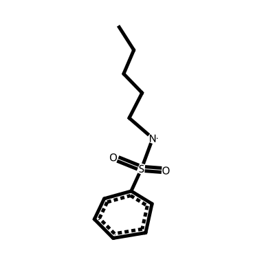 CCCCC[N]S(=O)(=O)c1ccccc1